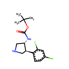 CC(C)(C)OC(=O)N[C@H]1CNC[C@@H]1c1ccc(F)cc1F